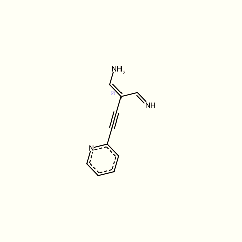 N=C/C(C#Cc1ccccn1)=C\N